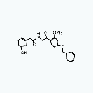 COc1cc(OCc2ccccc2)ccc1C(=O)NNC(=O)Cc1cccc(O)c1